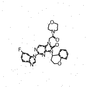 O=C(Cn1c(=O)n(C2CCOc3ccccc32)c2nc(-n3cnc4ccc(F)cc43)ncc21)N1CCOCC1